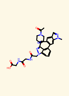 CC(=O)N1CCC(c2nn(CC(=O)NCC(=O)NCC(=O)O)c3cccc(-c4cc5c(cnn5C)cc4C#N)c23)CC1